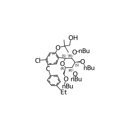 CCCCOC[C@H]1O[C@]2(CC(C)(CO)Oc3cc(Cl)c(Cc4ccc(CC)cc4)cc32)[C@H](OCCCC)[C@@H](OCCCC)[C@@H]1OCCCC